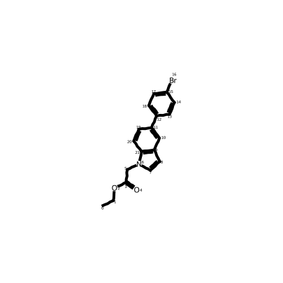 CCOC(=O)Cn1ccc2cc(-c3ccc(Br)cc3)ccc21